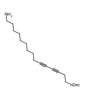 CCCCCCCCCCCCC#CC#CCCCCCCCCCN